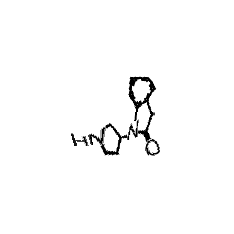 O=C1Cc2ccccc2N1[C@H]1CCNC1